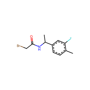 Cc1ccc(C(C)NC(=O)CBr)cc1F